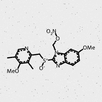 COc1ccc2nc([S+]([O-])Cc3ncc(C)c(OC)c3C)n(CO[N+](=O)[O-])c2c1